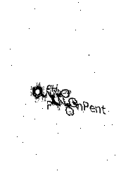 CCCCCOC(=O)n1cc(F)c(N(C)Cc2ccccc2)nc1=O